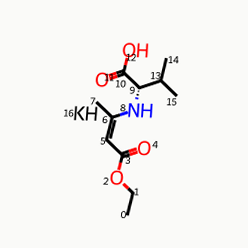 CCOC(=O)/C=C(/C)N[C@H](C(=O)O)C(C)C.[KH]